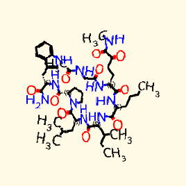 CCCC[C@H](NC(=O)[C@H](CCC(=O)C(=O)NC)NC(=O)CNC(C)=O)C(=O)N[C@H](C(=O)N[C@@H](CC(C)C)C(=O)N1CCC[C@H]1C(=O)N[C@@H](Cc1c[nH]c2ccccc12)C(N)=O)C(C)CC